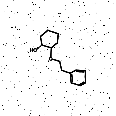 O[C@@H]1CCCCC1OCCc1ccccc1